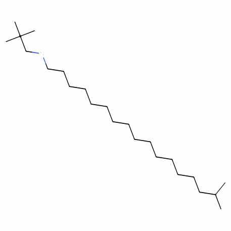 CC(C)CCCCCCCCCCCCCCCNCC(C)(C)C